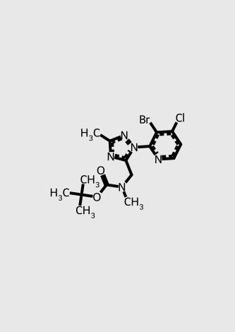 Cc1nc(CN(C)C(=O)OC(C)(C)C)n(-c2nccc(Cl)c2Br)n1